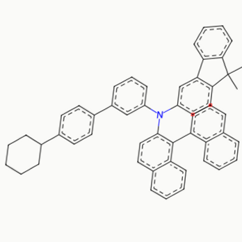 CC1(C)c2ccccc2-c2cc(N(c3cccc(-c4ccc(C5CCCCC5)cc4)c3)c3ccc4ccccc4c3-c3cccc4ccccc34)ccc21